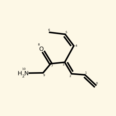 C=C/C=C(\C=C/C)C(=O)CN